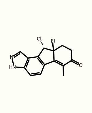 CC[C@@]12CCC(=O)C(C)=C1c1ccc3[nH]ncc3c1[C@@H]2Cl